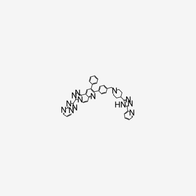 c1ccc(-c2cc3c(ccn4c(-c5nc6ncccn6n5)nnc34)nc2-c2ccc(CN3CCC(c4nnc(-c5ccccn5)[nH]4)CC3)cc2)cc1